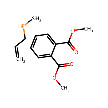 C=CCP[SiH3].COC(=O)c1ccccc1C(=O)OC